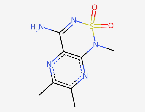 Cc1nc2c(nc1C)N(C)S(=O)(=O)N=C2N